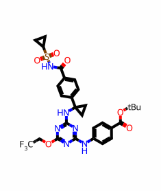 CC(C)(C)OC(=O)c1ccc(Nc2nc(NC3(c4ccc(C(=O)NS(=O)(=O)C5CC5)cc4)CC3)nc(OCC(F)(F)F)n2)cc1